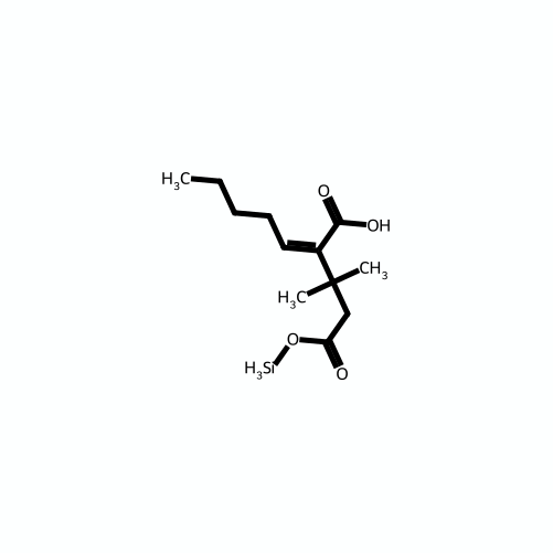 CCCCC=C(C(=O)O)C(C)(C)CC(=O)O[SiH3]